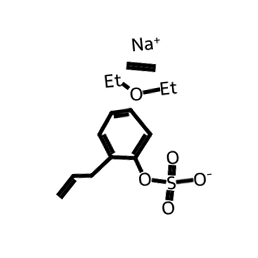 C=C.C=CCc1ccccc1OS(=O)(=O)[O-].CCOCC.[Na+]